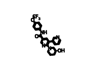 O=C(Nc1ccc(OC(F)(F)F)cc1)c1cnc(N2CCC[C@@H](O)C2)c(-c2cccnc2)c1